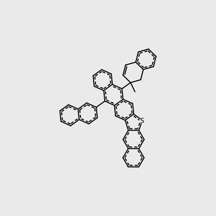 CC1(c2c3ccccc3c(-c3ccc4ccccc4c3)c3cc4c(cc23)sc2cc3ccccc3cc24)C=Cc2ccccc2C1